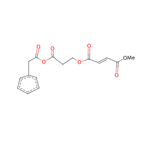 COC(=O)C=CC(=O)OCCC(=O)OC(=O)Cc1ccccc1